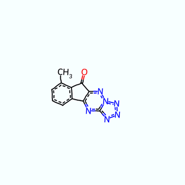 Cc1cccc2c1C(=O)c1nn3nnnc3nc1-2